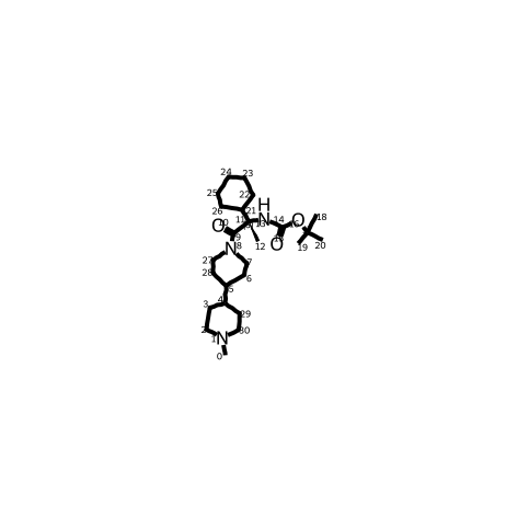 CN1CCC(C2CCN(C(=O)[C@@](C)(NC(=O)OC(C)(C)C)C3CCCCC3)CC2)CC1